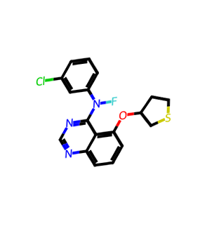 FN(c1cccc(Cl)c1)c1ncnc2cccc(OC3CCSC3)c12